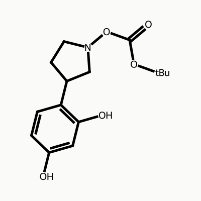 CC(C)(C)OC(=O)ON1CCC(c2ccc(O)cc2O)C1